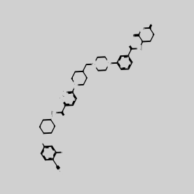 N#Cc1ccc(O[C@H]2CC[C@H](NC(=O)c3ccc(N4CCC(CN5CCN(c6cccc(C(=O)NC7CCC(=O)NC7=O)c6)CC5)CC4)nn3)CC2)cc1Cl